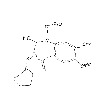 COc1cc2c(cc1OC)N(OC=O)C(C)C(=CN1CCCC1)C2=O